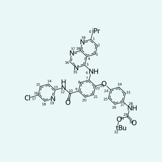 CC(C)c1ccc2c(Nc3cc(C(=O)Nc4ccc(Cl)cn4)ccc3Oc3ccc(NC(=O)OC(C)(C)C)cc3)ncnc2n1